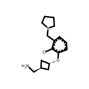 NC[C@H]1C[C@H](Oc2cccc(CN3CCCC3)c2Cl)C1